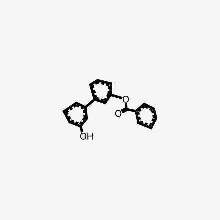 O=C(Oc1cccc(-c2cccc(O)c2)c1)c1ccccc1